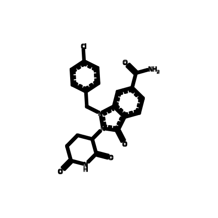 NC(=O)c1ccc2c(=O)n(C3CCC(=O)NC3=O)n(Cc3ccc(Cl)cc3)c2c1